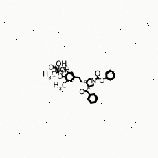 Cc1cc(CC[C@H]2CN(C(=O)Oc3ccccc3)C[C@@H]2C(=O)c2ccccc2)cc(C)c1OC(C)(C)C(=O)O